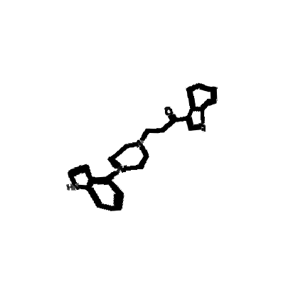 O=C(CCN1CCN(c2cccc3[nH]ccc23)CC1)c1csc2ccccc12